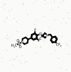 CC1(Oc2c(F)cc(C3CCN(S(C)(=O)=O)CC3)cc2F)CN(Cc2ccc(C(F)(F)F)cc2)C1